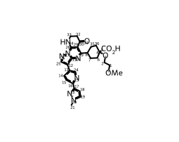 COCCOC1(C(=O)O)CCC(c2nc3c(-c4ccc(-c5ccn(C)n5)nc4)cnn3c3c2C(=O)CCN3)CC1